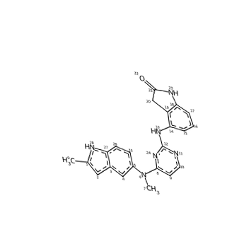 Cc1cc2cc(N(C)c3ccnc(Nc4cccc5c4CC(=O)N5)n3)ccc2[nH]1